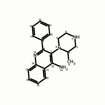 CC1CNCCN1c1c(-c2ccccc2)nc2ccccc2c1N